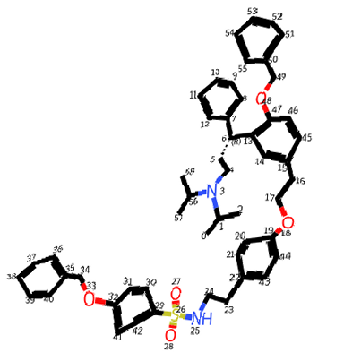 CC(C)N(CC[C@H](c1ccccc1)c1cc(CCOc2ccc(CCNS(=O)(=O)c3ccc(OCc4ccccc4)cc3)cc2)ccc1OCc1ccccc1)C(C)C